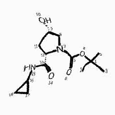 CC(C)(C)OC(=O)N1C[C@@H](O)C[C@H]1C(=O)NC1CC1